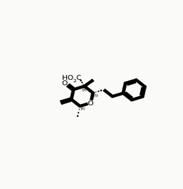 C=C1C(=O)[C@](C)(C(=O)O)[C@H](CCc2ccccc2)O[C@@H]1C